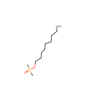 CCCCCCCCCCCCCCCCOP(C)(C)=O